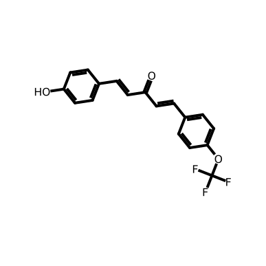 O=C(C=Cc1ccc(O)cc1)C=Cc1ccc(OC(F)(F)F)cc1